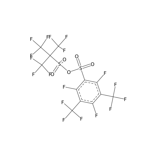 O=S(=O)(OS(=O)(=O)C(C(F)(F)F)(C(F)(F)F)C(F)(F)F)c1c(F)c(C(F)(F)F)c(F)c(C(F)(F)F)c1F